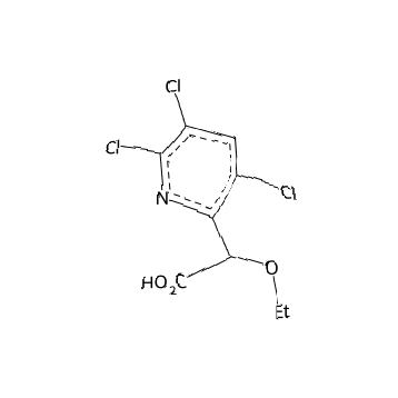 CCOC(C(=O)O)c1nc(Cl)c(Cl)cc1Cl